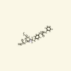 CCOC(=O)C/C(=N\OCC(=O)O)C(C)(C)Cc1ccc(CC(=O)NCc2ccccc2)cc1